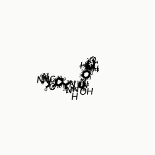 CC(Cn1cncn1)Oc1cc(-c2cnc(Nc3cn(C4CCC(N5[C@@H]6CC[C@H]5COC6)CC4)nc3O)nc2)ccc1C#N